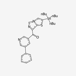 CCC[CH2][Sn]([CH2]CCC)([CH2]CCC)[c]1cn2cnc(C(=O)c3cncc(-c4ccccc4)c3)c2s1